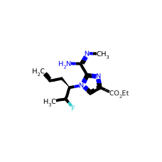 C=CC[C@H](C(C)F)n1cc(C(=O)OCC)nc1/C(N)=N\C